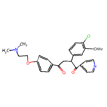 COc1cc(C(CC(=O)c2ccc(OCCN(C)C)cc2)C(=O)c2ccncc2)ccc1Cl